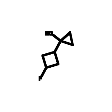 OC1(C2CC(F)C2)CC1